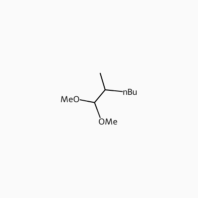 CCCCC(C)C(OC)OC